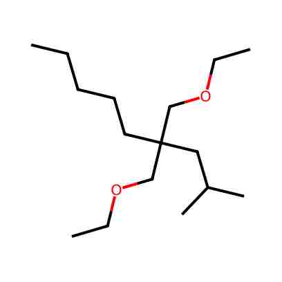 CCCCCC(COCC)(COCC)CC(C)C